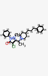 CC(c1c(Cl)c(=O)n(-c2ccccc2)n1C)N1CCC(CCCc2ccccc2)CC1